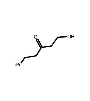 CC(C)CCC(=O)CCO